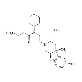 C[C@H]1CN(CCN(C(=O)CCC(=O)O)C2CCCCC2)CC[C@]1(C)c1cccc(O)c1.O